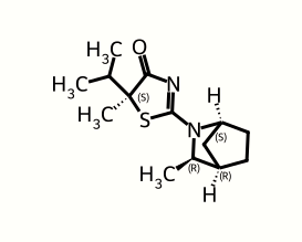 CC(C)[C@]1(C)SC(N2[C@H]3CC[C@H](C3)[C@H]2C)=NC1=O